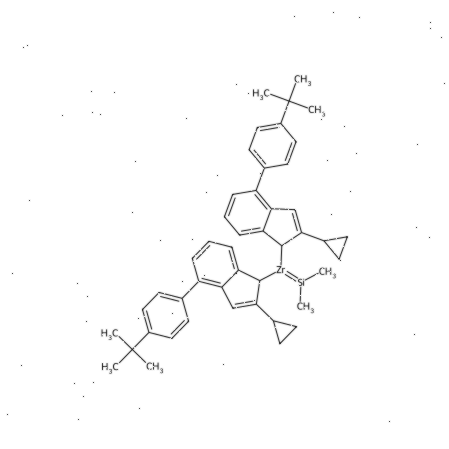 C[Si](C)=[Zr]([CH]1C(C2CC2)=Cc2c(-c3ccc(C(C)(C)C)cc3)cccc21)[CH]1C(C2CC2)=Cc2c(-c3ccc(C(C)(C)C)cc3)cccc21